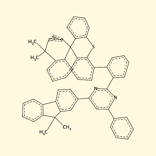 CC1(C)c2ccccc2-c2ccc(-c3cc(-c4ccccc4)nc(-c4ccccc4-c4cccc5c4Sc4ccccc4C54c5ccccc5C(C)(C)c5ccccc54)n3)cc21